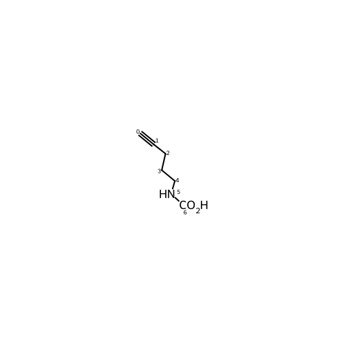 C#CCCCNC(=O)O